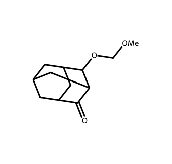 COCOC1C2CC3CC(C2)C(=O)C1C3